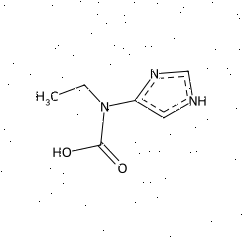 CCN(C(=O)O)c1c[nH]cn1